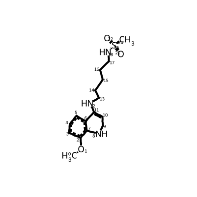 COc1cccc2c1NCC=C2NCCCCCNS(C)(=O)=O